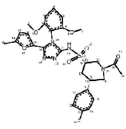 COc1cccc(OC)c1-n1c(NS(=O)(=O)[C@H]2C[C@@H](c3ccc(F)cc3)CN(C(C)=O)C2)nnc1-c1ccc(C)o1